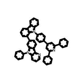 c1ccc(-c2cc(-c3ccc(-n4c5ccccc5c5cccc(-c6ccc7c8ncccc8n(-c8ccccc8)c7c6)c54)cc3)cc(-c3ccccc3)n2)cc1